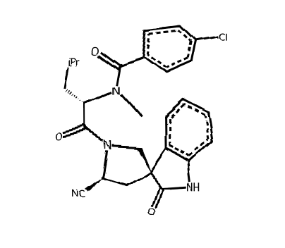 CC(C)C[C@@H](C(=O)N1C[C@]2(C[C@H]1C#N)C(=O)Nc1ccccc12)N(C)C(=O)c1ccc(Cl)cc1